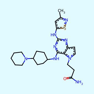 Cc1cc(Nc2nc(NC3CCC(N4CCCCC4)CC3)c3c(ccn3CCC(N)=O)n2)sn1